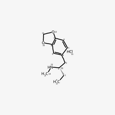 CC[C@@H](Cc1ccc2c(c1)OCO2)NC.Cl